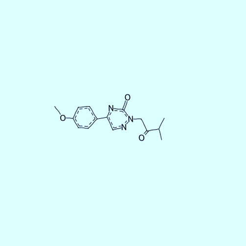 COc1ccc(-c2cnn(CC(=O)C(C)C)c(=O)n2)cc1